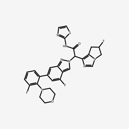 O=C(Nc1nccs1)C(c1ncn2c1CC(F)C2)n1cc2c(F)cc(-c3cccc(F)c3N3CCOCC3)cc2n1